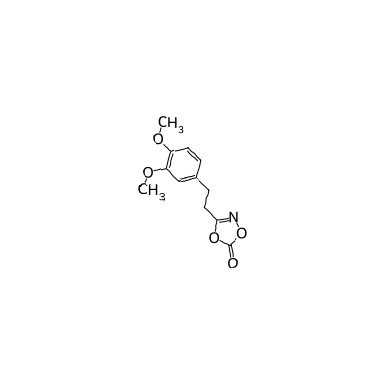 COc1ccc(CCc2noc(=O)o2)cc1OC